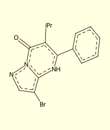 CC(C)c1c(-c2ccccc2)[nH]c2c(Br)cnn2c1=O